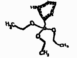 CCO[Si](OCC)(OCC)c1ncc[nH]1